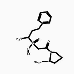 CCOP(=O)(CC(=O)N1CCC[C@H]1C(=O)O)C(N)CCc1ccccc1